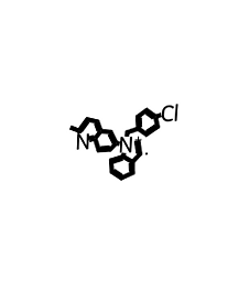 Cc1ccc2cc([N+]3(Cc4ccc(Cl)cc4)C=[C]c4ccccc43)ccc2n1